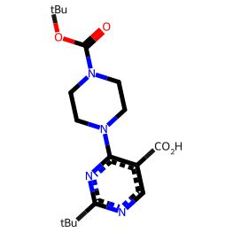 CC(C)(C)OC(=O)N1CCN(c2nc(C(C)(C)C)ncc2C(=O)O)CC1